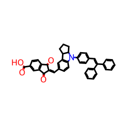 O=C(O)c1ccc2c(c1)C(=O)C(=Cc1ccc3c(c1)C1CCCC1N3c1ccc(C=C(c3ccccc3)c3ccccc3)cc1)C2=O